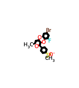 Cc1cc(=O)c(Oc2ccc(Br)cc2F)c(-c2ccc([S+](C)[O-])cc2)o1